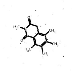 Cc1c(C)c(C)c2c(c1C)CC(=O)N(C)C2=O